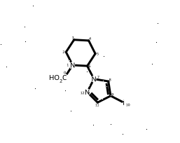 O=C(O)N1CCCCC1n1cc(I)cn1